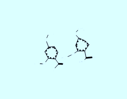 COc1ccc(C(=O)O)c(OC)c1.COc1ccc(C(=O)O)c(OC)c1